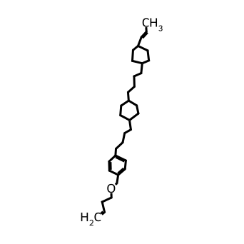 C=CCCOCc1ccc(CCCCC2CCC(CCCCC3CCC(C=CC)CC3)CC2)cc1